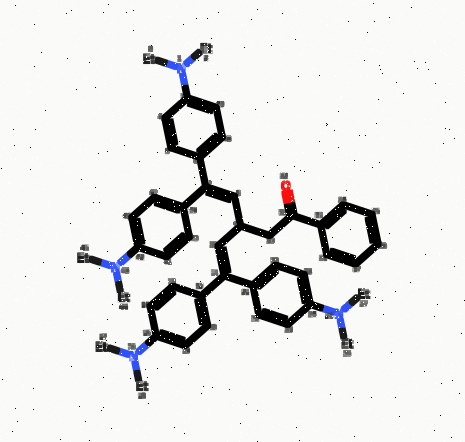 CCN(CC)c1ccc(C(=CC(C=C(c2ccc(N(CC)CC)cc2)c2ccc(N(CC)CC)cc2)CC(=O)c2ccccc2)c2ccc(N(CC)CC)cc2)cc1